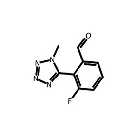 Cn1nnnc1-c1c(F)cccc1C=O